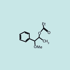 CCC(=O)OC(C)C(OC)c1ccccc1